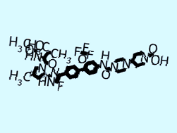 COC(=O)N[C@H](C(=O)N1C[C@@H](C)C[C@H]1c1nc(-c2ccc(-c3ccc(NC(=O)N4CCN(C5CCN(C(=O)O)CC5)CC4)cc3OC(F)(F)F)cc2)c(F)[nH]1)C(C)C